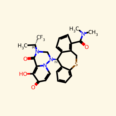 C[C@@H](N1CN([C@@H]2c3ccccc3SCc3c(C(=O)N(C)C)cccc32)n2ccc(=O)c(O)c2C1=O)C(F)(F)F